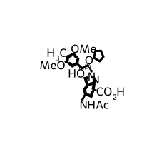 COc1cc([C@@H](O)[C@H](Cn2cc3cc(CNC(C)=O)cc(C(=O)O)c3n2)OC2CCCC2)cc(OC)c1C